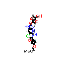 COCCOc1cc(F)c2c(c1)OCC2Nc1nc2nc(O[C@@H]3COC4C3OC[C@H]4O)[nH]c2cc1Cl